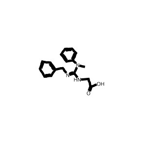 CN(C(=NCc1ccccc1)NCC(=O)O)c1ccccc1